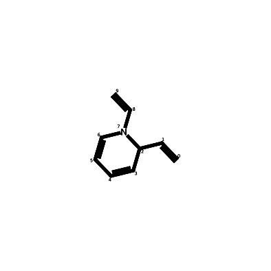 C=CC1C=CC=CN1C=C